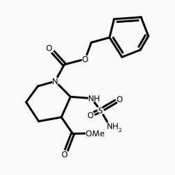 COC(=O)C1CCCN(C(=O)OCc2ccccc2)C1NS(N)(=O)=O